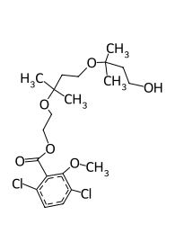 COc1c(Cl)ccc(Cl)c1C(=O)OCCOC(C)(C)CCOC(C)(C)CCO